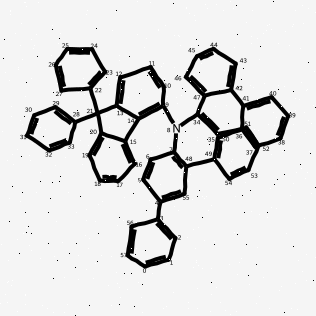 c1ccc(-c2ccc(N(c3cccc4c3-c3ccccc3C4(c3ccccc3)c3ccccc3)c3cc4ccccc4c4ccccc34)c(-c3ccccc3)c2)cc1